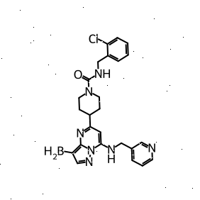 Bc1cnn2c(NCc3cccnc3)cc(C3CCN(C(=O)NCc4ccccc4Cl)CC3)nc12